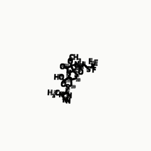 CO[C@@]1(NC(=O)CSC(F)(F)F)C(=O)N2C(C(=O)O)=C(CSc3nnnn3C)CS[C@H]21